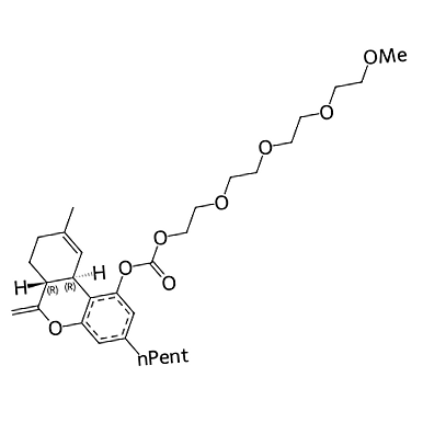 C=C1Oc2cc(CCCCC)cc(OC(=O)OCCOCCOCCOCCOC)c2[C@@H]2C=C(C)CC[C@@H]12